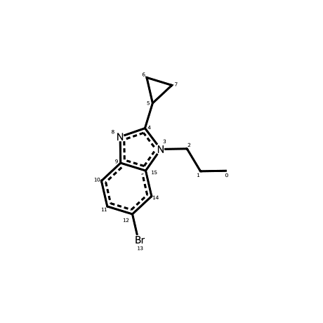 CCCn1c(C2CC2)nc2ccc(Br)cc21